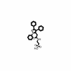 O=C(Cc1c(-c2ccccc2)c(-c2ccccc2)nn1-c1ccccc1)NCCS(=O)(=O)O